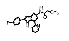 C=CC(=O)Nc1cc(-c2ccccn2)c2[nH]c(-c3ccc(F)cc3)cc2c1